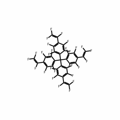 FC(F)=C(F)c1c(F)c(F)c(C(c2c(F)c(F)c(C(F)=C(F)F)c(F)c2F)(c2c(F)c(F)c(C(F)=C(F)F)c(F)c2F)c2c(F)c(F)c(C(F)=C(F)F)c(F)c2F)c(F)c1F